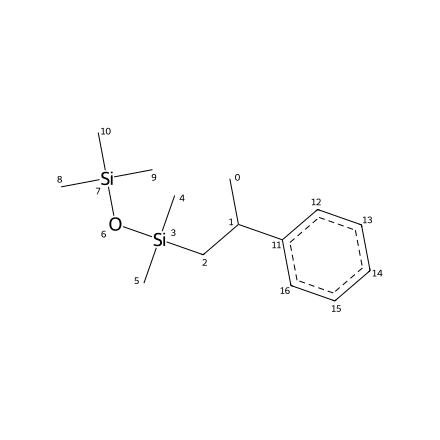 CC(C[Si](C)(C)O[Si](C)(C)C)c1ccccc1